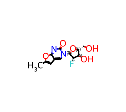 Cc1cc2cn([C@@H]3O[C@H](CO)[C@@H](O)[C@@H]3F)c(=O)nc2o1